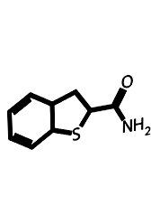 NC(=O)C1CC2C=CC=CC2S1